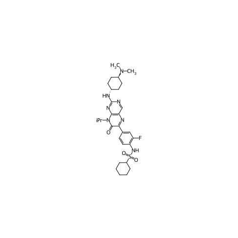 CC(C)n1c(=O)c(-c2ccc(NS(=O)(=O)C3CCCCC3)c(F)c2)nc2cnc(N[C@H]3CC[C@H](N(C)C)CC3)nc21